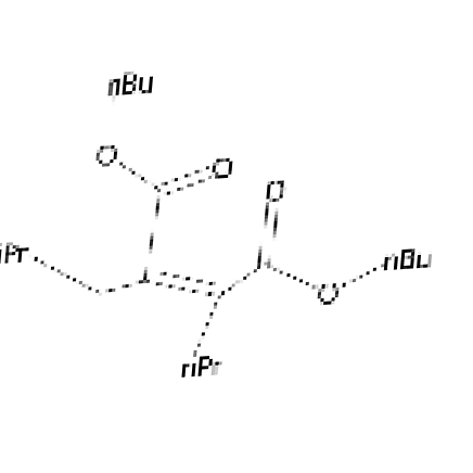 CCCCOC(=O)/C(CCC)=C(/CC(C)C)C(=O)OCCCC